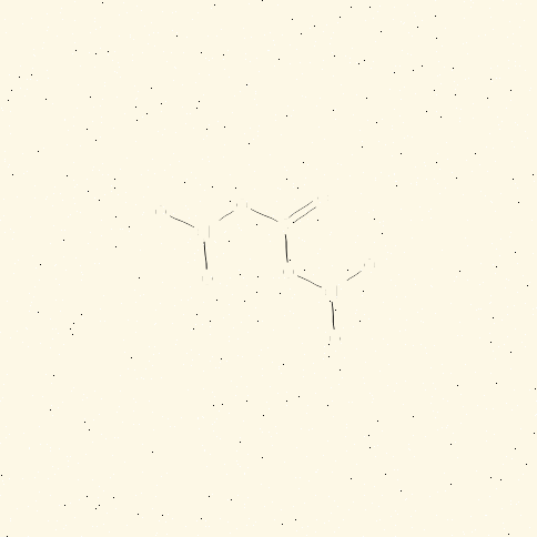 O=S(O[Cl+2]([O-])[O-])O[Cl+2]([O-])[O-]